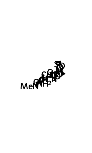 CNC(=O)Nc1ccc(C)c(CCCC(=O)N(CC(=O)N2Cc3sccc3OC[C@H]2C2CC2)C(N)=O)c1